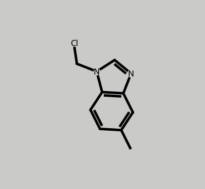 Cc1ccc2c(c1)ncn2CCl